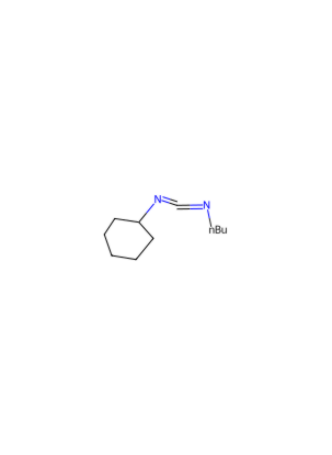 CCCCN=C=NC1CCCCC1